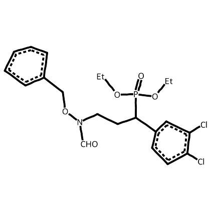 CCOP(=O)(OCC)C(CCN(C=O)OCc1ccccc1)c1ccc(Cl)c(Cl)c1